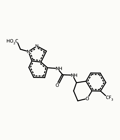 O=C(O)Cn1ncc2c(NC(=O)NC3CCOc4c3cccc4C(F)(F)F)cccc21